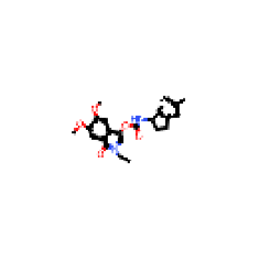 CCn1cc(OC(=O)NC2CCc3cc(C)ccc32)c2cc(OC)c(OC)cc2c1=O